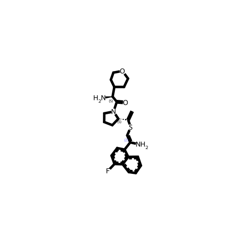 C=C(S/C=C(\N)c1ccc(F)c2ccccc12)[C@@H]1CCCN1C(=O)[C@@H](N)C1CCOCC1